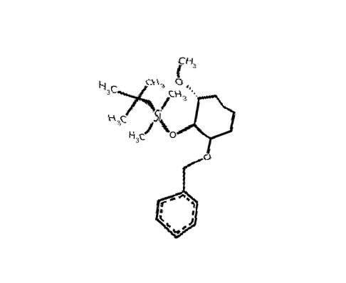 CO[C@@H]1CCCC(OCc2ccccc2)C1O[Si](C)(C)C(C)(C)C